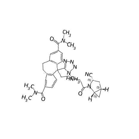 CN(C)C(=O)c1ccc2c(c1)CCc1cc(C(=O)N(C)C)ccc1C2(CCNCC(=O)N1[C@H](C#N)C[C@@H]2C[C@@H]21)c1nnnn1C